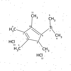 CC1=C(C)C(C)[C]([Ti]([CH3])[CH3])=C1C.Cl.Cl